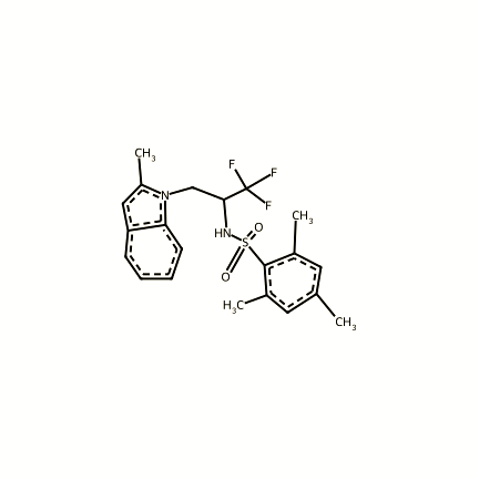 Cc1cc(C)c(S(=O)(=O)NC(Cn2c(C)cc3ccccc32)C(F)(F)F)c(C)c1